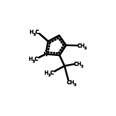 Cc1cc(C)n(C)c1C(C)(C)C